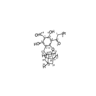 CC(C)CC(=O)c1c(O)c(C=O)c(O)c2c1O[C@@]1(C)[C@@H](C2)C[C@H]2C[C@@H]1C2(C)C